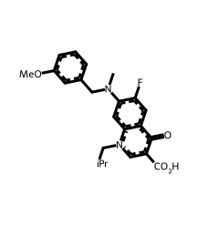 COc1cccc(CN(C)c2cc3c(cc2F)c(=O)c(C(=O)O)cn3CC(C)C)c1